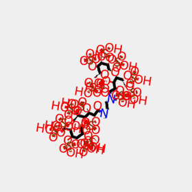 CN(CCN(C)C(=O)[C@H](OS(=O)(=O)O)[C@@H](OS(=O)(=O)O)[C@H](O[C@@H]1O[C@H](COS(=O)(=O)O)[C@H](OS(=O)(=O)O)[C@H](OS(=O)(=O)O)[C@H]1OS(=O)(=O)O)[C@@H](COS(=O)(=O)O)OS(=O)(=O)O)C(=O)[C@H](OS(=O)(=O)O)[C@@H](OS(=O)(=O)O)[C@H](O[C@@H]1O[C@H](COS(=O)(=O)O)[C@H](OS(=O)(=O)O)[C@H](OS(=O)(=O)O)[C@H]1OS(=O)(=O)O)[C@@H](COS(=O)(=O)O)OS(=O)(=O)O